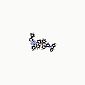 C1=CCCC(c2c(C3=NC(C4=CC(c5ccccc5)=CCC4)NC(c4ccccc4)=N3)ccc3c2OC2C(n4c5ccccc5c5cc(-n6c7ccccc7c7ccccc76)ccc54)=CC=CC32)=C1